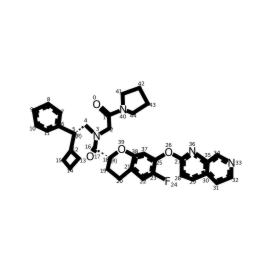 O=C(CN(C[C@@H](c1ccccc1)C1CCC1)C(=O)[C@H]1CCc2cc(F)c(Oc3ccc4ccncc4n3)cc2O1)N1CCCC1